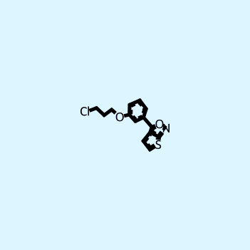 ClCCCOc1cccc(-c2onc3sccc23)c1